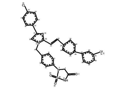 O=C1CN(c2ccc(Cn3cc(-c4ccc(Cl)cc4)nc3C=Cc3ccc(-c4cccc(C(F)(F)F)c4)cc3)cc2)S(=O)(=O)N1